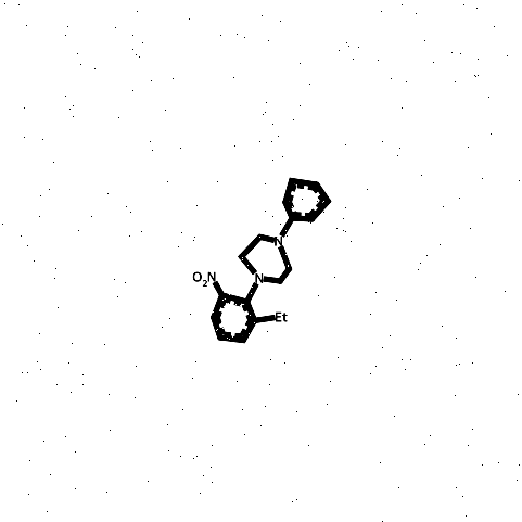 CCc1cccc([N+](=O)[O-])c1N1CCN(c2ccccc2)CC1